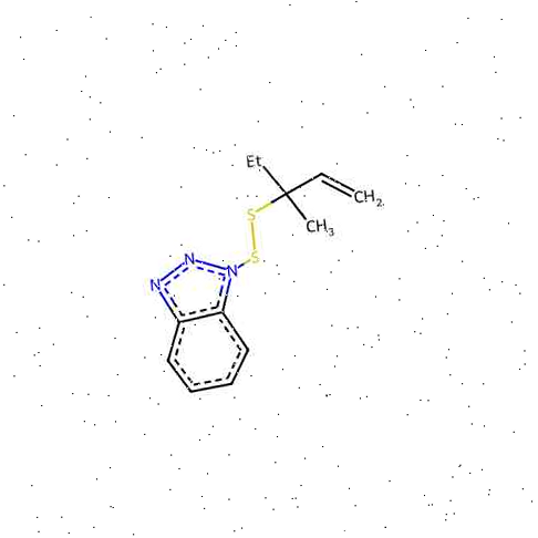 C=CC(C)(CC)SSn1nnc2ccccc21